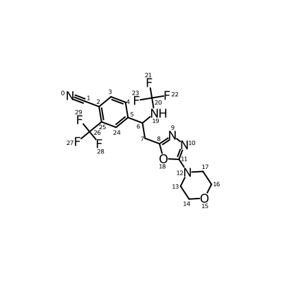 N#Cc1ccc(C(Cc2nnc(N3CCOCC3)o2)NC(F)(F)F)cc1C(F)(F)F